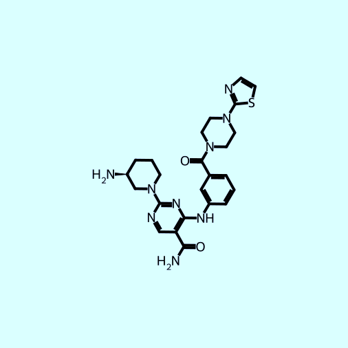 NC(=O)c1cnc(N2CCC[C@H](N)C2)nc1Nc1cccc(C(=O)N2CCN(c3nccs3)CC2)c1